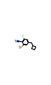 N#Cc1c(F)cc(CC2CCC2)cc1Br